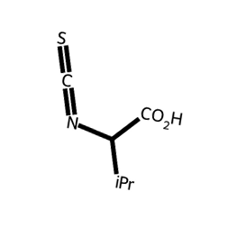 CC(C)C(N=C=S)C(=O)O